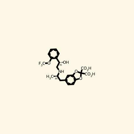 C[C@H](Cc1ccc2c(c1)OC(C(=O)O)(C(=O)O)O2)NC[C@@H](O)c1ccccc1OC(F)(F)F